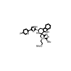 COCCOCC1(c2nnc(C(C)(C)C)o2)N[C@@H](c2nc(-c3ccc(F)cn3)c[nH]2)Cc2c1[nH]c1ccccc21